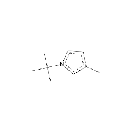 Cc1ccn(C(C)(C)C)c1